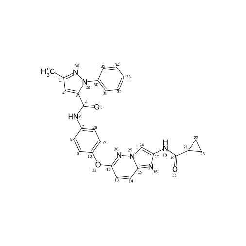 Cc1cc(C(=O)Nc2ccc(Oc3ccc4nc(NC(=O)C5CC5)cn4n3)cc2)n(-c2ccccc2)n1